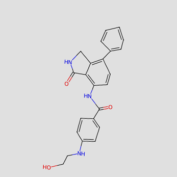 O=C(Nc1ccc(-c2ccccc2)c2c1C(=O)NC2)c1ccc(NCCO)cc1